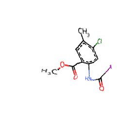 COC(=O)c1cc(C)c(Cl)cc1NC(=O)I